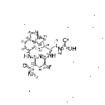 C[C@H](NC(=O)O)[C@@H](Nc1nc(Nc2ccc3cnn(C)c3c2)c(C(N)=O)cc1F)C1CCC1